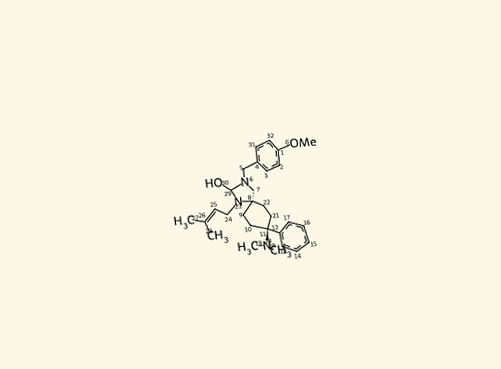 COc1ccc(CN2C[C@]3(CC[C@](c4ccccc4)(N(C)C)CC3)N(CC=C(C)C)C2O)cc1